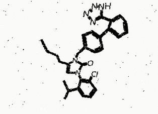 CCCCc1cn(-c2c(Cl)cccc2C(C)C)c(=O)n1Cc1ccc(-c2ccccc2-c2nnn[nH]2)cc1